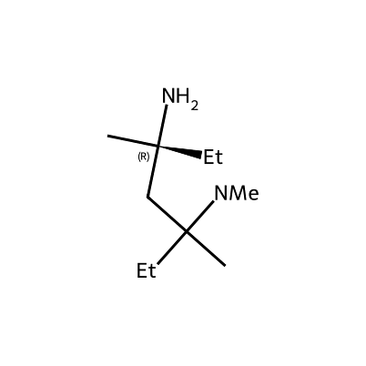 CCC(C)(C[C@](C)(N)CC)NC